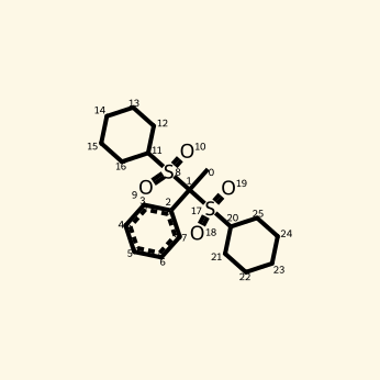 CC(c1ccccc1)(S(=O)(=O)C1CCCCC1)S(=O)(=O)C1CCCCC1